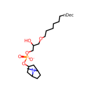 CCCCCCCCCCCCCCCCOCC(O)COP(=O)([O-])OC1CC2CCC(C1)[N+]2(C)C